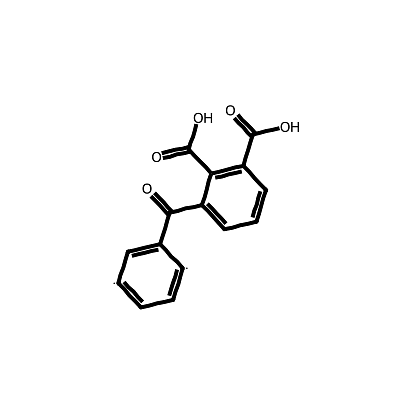 O=C(O)c1cccc(C(=O)c2[c]cc[c]c2)c1C(=O)O